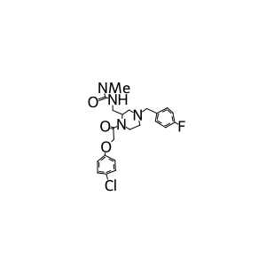 CNC(=O)NCC1CN(Cc2ccc(F)cc2)CCN1C(=O)COc1ccc(Cl)cc1